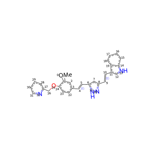 COc1cc(/C=C/c2cc(/C=C/c3c[nH]c4ccccc34)n[nH]2)ccc1OCc1ccccn1